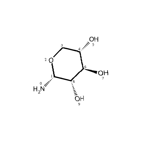 N[C@@H]1OC[C@H](O)[C@@H](O)[C@@H]1O